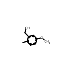 COc1ccc(I)c([CH]O)c1